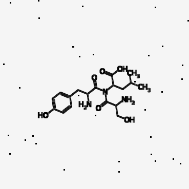 CC(C)CC(C(=O)O)N(C(=O)C(N)CO)C(=O)C(N)Cc1ccc(O)cc1